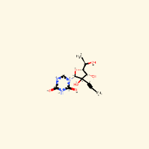 CC#CC1(O)[C@@H](O)[C@@H]([C@@H](C)O)O[C@H]1n1cnc(=O)[nH]c1=O